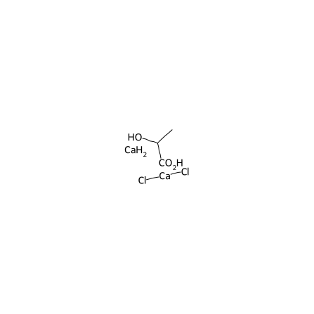 CC(O)C(=O)O.[CaH2].[Cl][Ca][Cl]